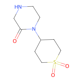 O=C1CNCCN1C1CCS(=O)(=O)CC1